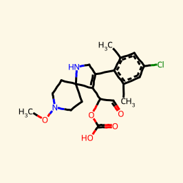 CON1CCC2(CC1)NCC(c1c(C)cc(Cl)cc1C)=C2C(C=O)OC(=O)O